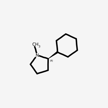 CN1CCC[C@@H]1C1CCCCC1